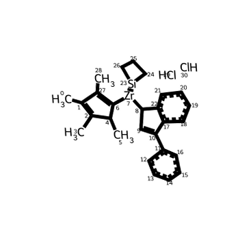 CC1=C(C)C(C)[C]([Zr]([CH]2C=C(c3ccccc3)c3ccccc32)=[Si]2CCC2)=C1C.Cl.Cl